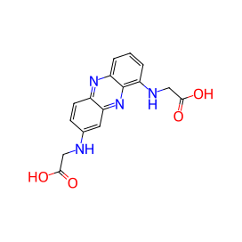 O=C(O)CNc1ccc2nc3cccc(NCC(=O)O)c3nc2c1